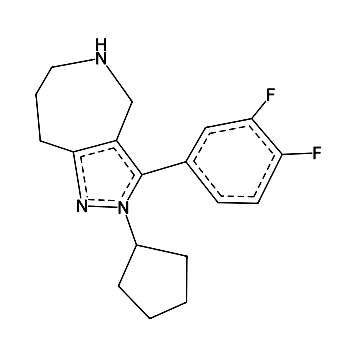 Fc1ccc(-c2c3c(nn2C2CCCC2)CCCNC3)cc1F